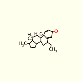 C=C1CCC2C3CC(CC)C4=CC(=O)C=C[C@]4(C)C3CC[C@]12C